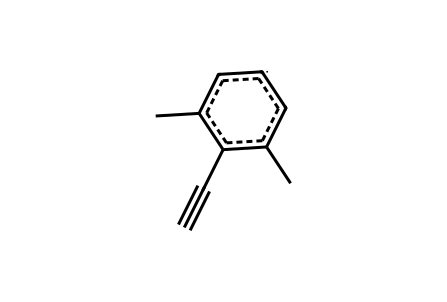 C#Cc1c(C)c[c]cc1C